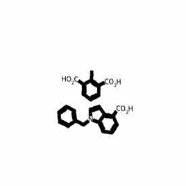 Cc1c(C(=O)O)cccc1C(=O)O.O=C(O)c1cccc2c1ccn2Cc1ccccc1